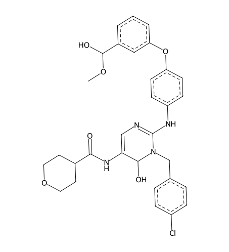 COC(O)c1cccc(Oc2ccc(NC3=NC=C(NC(=O)C4CCOCC4)C(O)N3Cc3ccc(Cl)cc3)cc2)c1